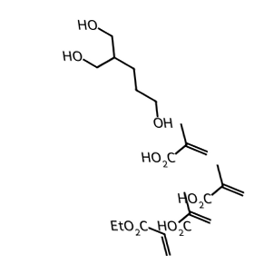 C=C(C)C(=O)O.C=C(C)C(=O)O.C=C(C)C(=O)O.C=CC(=O)OCC.OCCCC(CO)CO